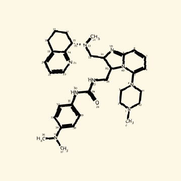 CN1CCN(C2=CC=CC3=NC(CN(C)[C@H]4CCCc5cccnc54)C(CNC(=O)Nc4ccc(N(C)C)cc4)N23)CC1